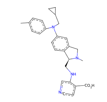 Cc1ccc(N(CC2CC2)c2ccc3c(c2)CN(C)[C@H]3CNc2cnccc2C(=O)O)cc1